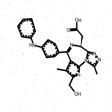 Cc1c(CO)sc2c1C(c1ccc(Nc3ccccc3)cc1)=N[C@@H](CC(=O)O)c1nnc(C)n1-2